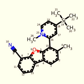 Cc1ccc2c(oc3c(C#N)cccc32)c1-c1cc([Si](C)(C)C)cc[n+]1C